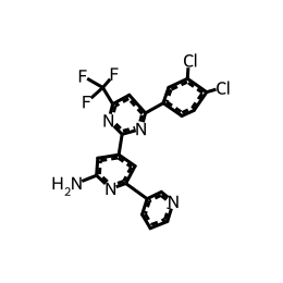 Nc1cc(-c2nc(-c3ccc(Cl)c(Cl)c3)cc(C(F)(F)F)n2)cc(-c2cccnc2)n1